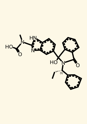 CC[C@@H](c1ccccc1)N1C(=O)c2ccccc2C1(O)c1ccc2[nH]c(N(C)C(=O)O)nc2c1